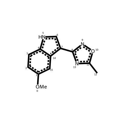 COc1ccc2[nH]cc(-c3noc(C)n3)c2c1